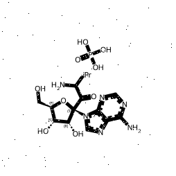 CC(C)C(N)C(=O)[C@@]1(n2cnc3c(N)ncnc32)O[C@H](CO)[C@@H](O)[C@H]1O.O=P(O)(O)O